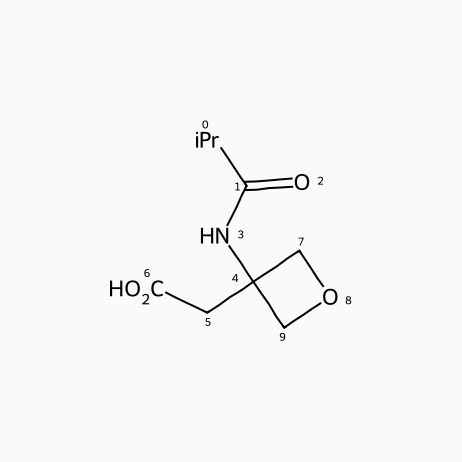 CC(C)C(=O)NC1(CC(=O)O)COC1